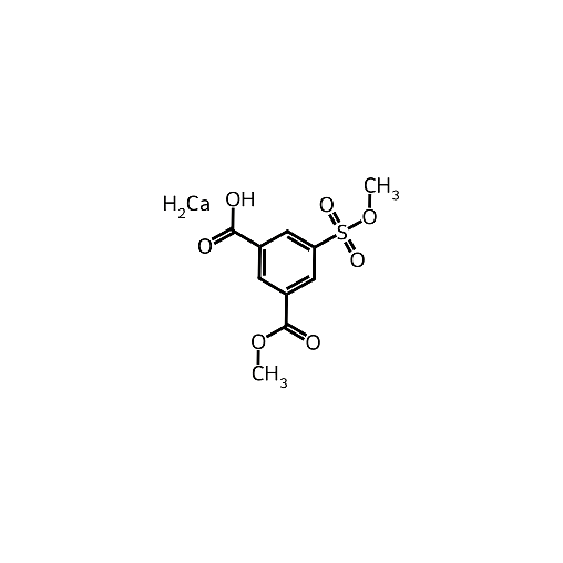 COC(=O)c1cc(C(=O)O)cc(S(=O)(=O)OC)c1.[CaH2]